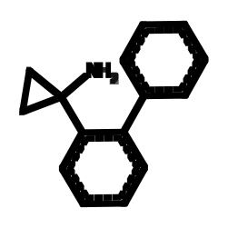 NC1(c2ccccc2-c2ccccc2)CC1